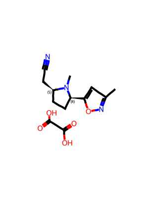 Cc1cc([C@H]2CC[C@@H](CC#N)N2C)on1.O=C(O)C(=O)O